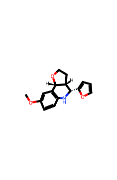 COc1ccc2c(c1)[C@@H]1OCC[C@@H]1[C@H](c1ccco1)N2